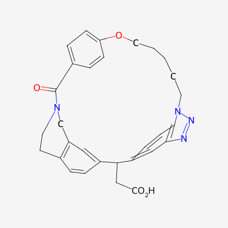 O=C(O)CC1c2ccc3c(c2)CN(CC3)C(=O)c2ccc(cc2)OCCCCCn2nnc3cc1ccc32